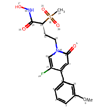 COc1cccc(-c2cc(=O)n(CC[C@H](C(=O)NO)S(C)(=O)=O)cc2F)c1